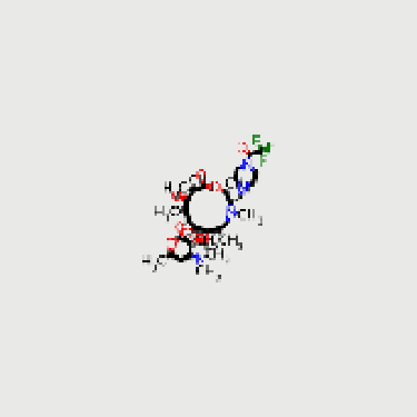 CO[C@]1(C)C[C@@H](C)CN(C)[C@@H](CN2CCN(C(=O)C(F)(F)F)CC2)[C@H](C)OC(=O)C(C)(C)C(=O)[C@H](C)[C@H]1O[C@@H]1O[C@H](C)C[C@H](N(C)C)[C@H]1O